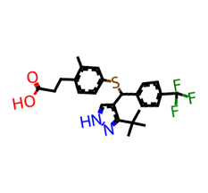 Cc1cc(SC(c2ccc(C(F)(F)F)cc2)c2c[nH]nc2C(C)(C)C)ccc1CCC(=O)O